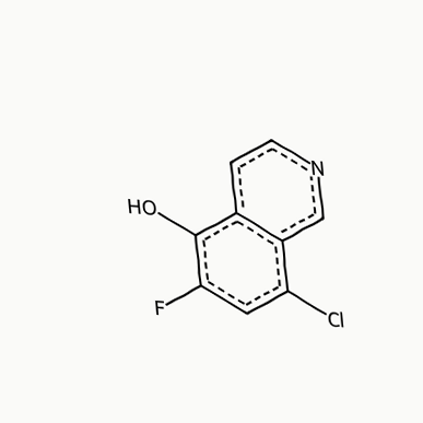 Oc1c(F)cc(Cl)c2cnccc12